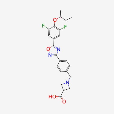 CC[C@H](C)Oc1c(F)cc(-c2nc(-c3ccc(CN4CC(C(=O)O)C4)cc3)no2)cc1F